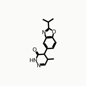 CC(C)c1nc2cc(C3C(=O)NN=CC3C)ccc2o1